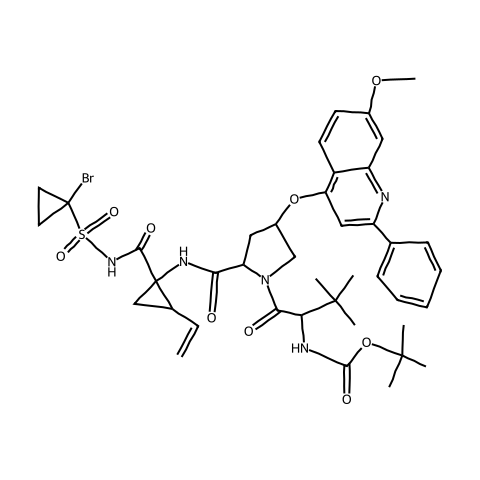 C=CC1CC1(NC(=O)C1CC(Oc2cc(-c3ccccc3)nc3cc(OC)ccc23)CN1C(=O)C(NC(=O)OC(C)(C)C)C(C)(C)C)C(=O)NS(=O)(=O)C1(Br)CC1